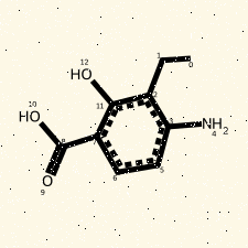 CCc1c(N)ccc(C(=O)O)c1O